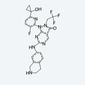 O=c1c2cnc(Nc3ccc4c(c3)CNCC4)nc2n(-c2nc(C3(O)CC3)ccc2F)n1CC(F)(F)F